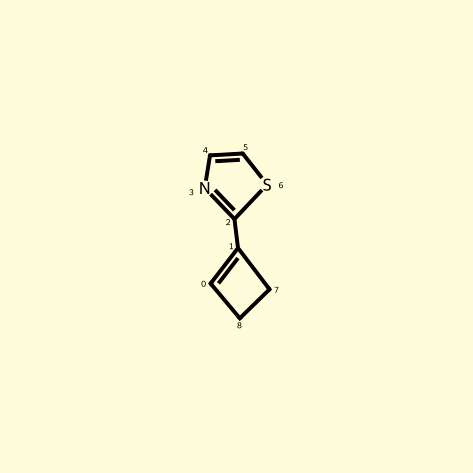 C1=C(c2nccs2)CC1